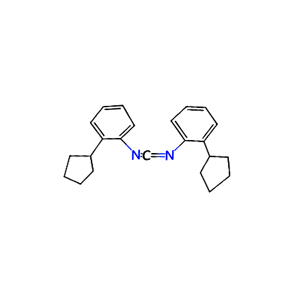 C(=Nc1ccccc1C1CCCC1)=Nc1ccccc1C1CCCC1